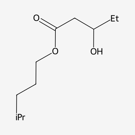 CCC(O)CC(=O)OCCCC(C)C